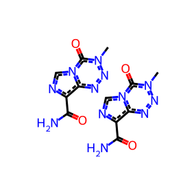 Cn1nnc2c(C(N)=O)ncn2c1=O.Cn1nnc2c(C(N)=O)ncn2c1=O